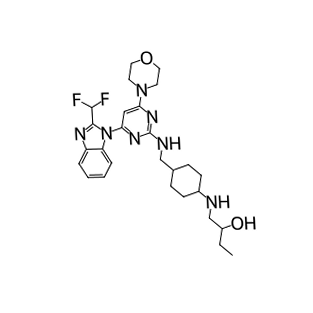 CCC(O)CNC1CCC(CNc2nc(N3CCOCC3)cc(-n3c(C(F)F)nc4ccccc43)n2)CC1